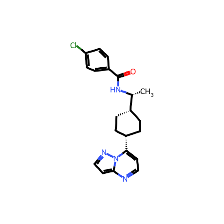 C[C@@H](NC(=O)c1ccc(Cl)cc1)[C@H]1CC[C@@H](c2ccnc3ccnn32)CC1